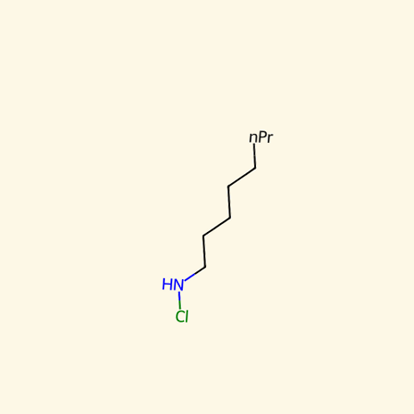 CCCCCCCCNCl